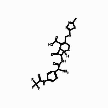 Cc1nnc(SCC2=C(C(=O)O)N3C(=O)C(NC(=O)C(N)c4ccc(NC(=O)C(F)(F)F)cc4)[C@H]3SC2)s1